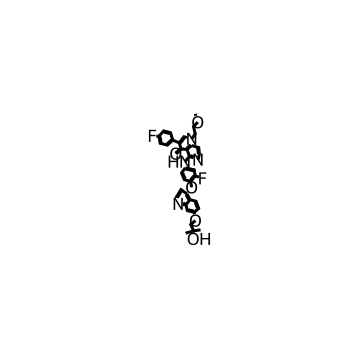 COCCn1cc(-c2ccc(F)cc2)c(=O)c2c(Nc3ccc(Oc4ccnc5cc(OCC(C)(C)O)ccc45)c(F)c3)nccc21